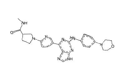 CNC(=O)C1CCN(c2ccc(-c3nc(Nc4ccc(N5CCOCC5)cc4)nc4[nH]cnc34)cn2)C1